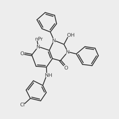 CCCn1c2c(c(Nc3ccc(Cl)cc3)cc1=O)C(=O)N(c1ccccc1)C(O)N2c1ccccc1